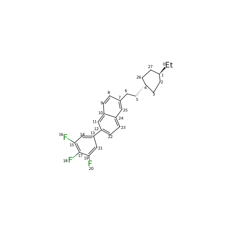 CC[C@H]1CC[C@H](CCc2ccc3cc(-c4cc(F)c(F)c(F)c4)ccc3c2)CC1